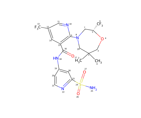 CC1(C)CO[C@@H](C(F)(F)F)CN(c2ncc(C(F)(F)F)cc2C(=O)Nc2ccnc(S(N)(=O)=O)c2)C1